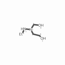 CCNN(CO)CCO